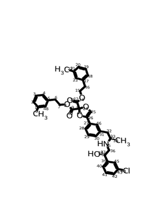 Cc1cccc(CCOC(=O)C2(C(=O)OCCc3cccc(C)c3)OC=C(c3cccc(C[C@@H](C)NC[C@@H](O)c4cccc(Cl)c4)c3)O2)c1